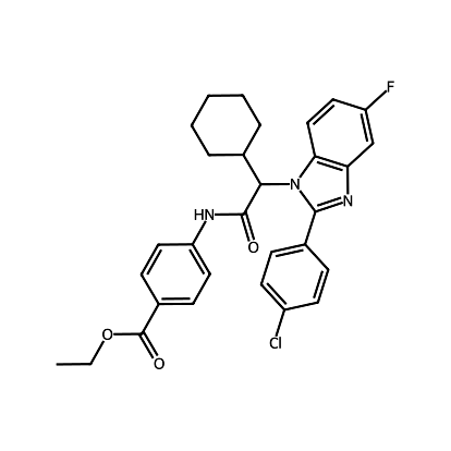 CCOC(=O)c1ccc(NC(=O)C(C2CCCCC2)n2c(-c3ccc(Cl)cc3)nc3cc(F)ccc32)cc1